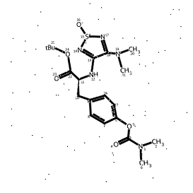 CN(C)C(=O)Oc1ccc(C[C@H](Nc2n[s+]([O-])nc2N(C)C)C(=O)OC(C)(C)C)cc1